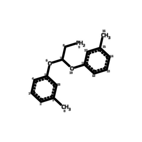 Cc1cccc(OC(CP)Oc2cccc(C)c2)c1